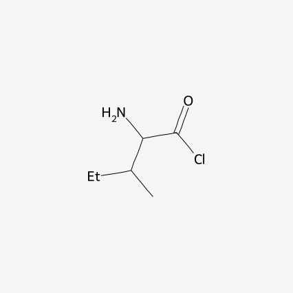 CCC(C)C(N)C(=O)Cl